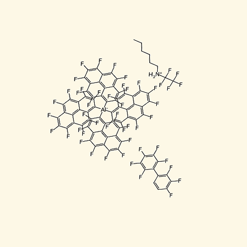 CCCCCC[NH2+]C(F)(F)C(F)(F)F.Fc1c(F)c2c(F)c(F)c3c(F)c(F)[c]([Al-]([c]4c(F)c(F)c5c(F)c(F)c6c(F)c(F)c(F)c7c(F)c(F)c4c5c67)([c]4c(F)c(F)c5c(F)c(F)c6c(F)c(F)c(F)c7c(F)c(F)c4c5c67)[c]4c(F)c(F)c5c(F)c(F)c6c(F)c(F)c(F)c7c(F)c(F)c4c5c67)c4c(F)c(F)c(c1F)c2c34.Fc1ccc(-c2c(F)c(F)c(F)c(F)c2F)c(F)c1F